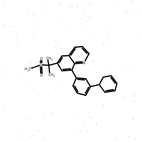 CC(C)(c1cc(-c2cccc(C3C=[C]C=CC3)c2)c2ncccc2c1)S(C)(=O)=O